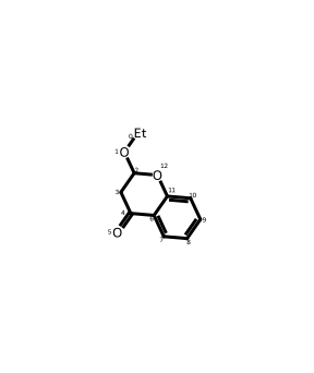 CCOC1CC(=O)c2ccccc2O1